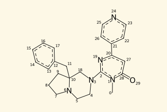 Cn1c(N2CCN3CCCC3(Cc3ccccc3)C2)nc(-c2ccncc2)cc1=O